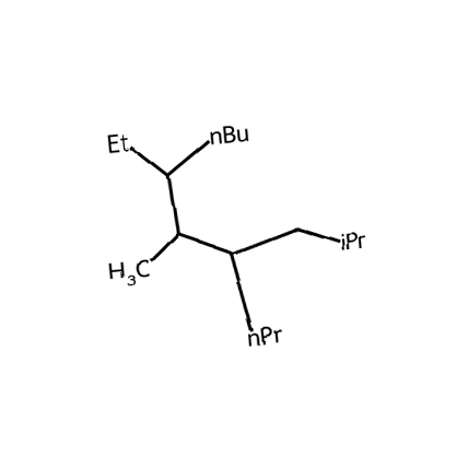 CCCCC(CC)C(C)C(CCC)CC(C)C